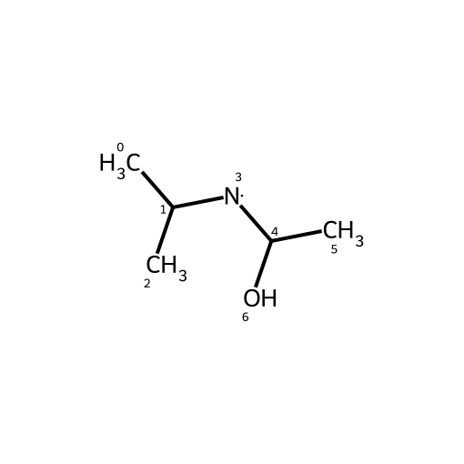 CC(C)[N]C(C)O